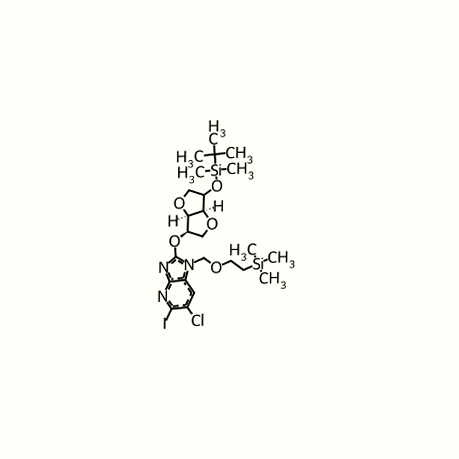 CC(C)(C)[Si](C)(C)OC1CO[C@H]2[C@@H]1OC[C@H]2Oc1nc2nc(I)c(Cl)cc2n1COCC[Si](C)(C)C